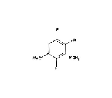 COc1cc(F)c(Br)cc1F.[MgH2]